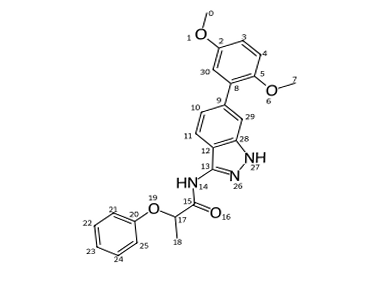 COc1ccc(OC)c(-c2ccc3c(NC(=O)C(C)Oc4ccccc4)n[nH]c3c2)c1